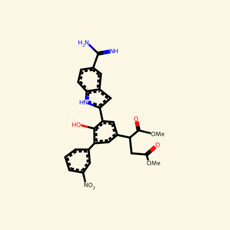 COC(=O)CC(C(=O)OC)c1cc(-c2cccc([N+](=O)[O-])c2)c(O)c(-c2cc3cc(C(=N)N)ccc3[nH]2)c1